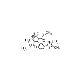 CCOC(=O)C1=C(C)NC(C)=C(C(=O)OCC)C1c1cccc(-c2nc(C)c(C)s2)c1